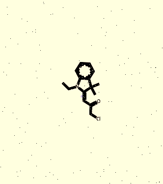 CCN1/C(=C/C(=O)CCl)C(C)(C)c2ccccc21